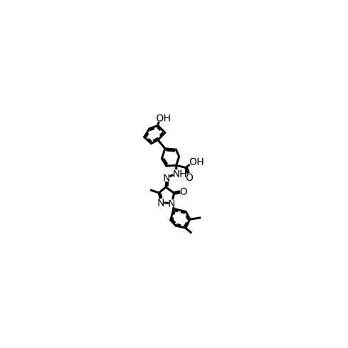 CC1=NN(c2ccc(C)c(C)c2)C(=O)C1=NNC1(C(=O)O)C=CC(c2cccc(O)c2)=CC1